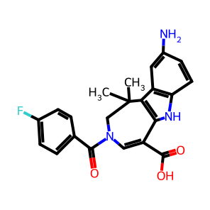 CC1(C)CN(C(=O)c2ccc(F)cc2)C=C(C(=O)O)c2[nH]c3ccc(N)cc3c21